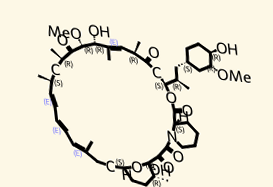 CO[C@@H]1C[C@H](C[C@@H](C)[C@@H]2CC(=O)[C@H](C)/C=C(\C)[C@@H](O)[C@@H](OC)C(=O)[C@H](C)C[C@H](C)/C=C/C=C/C=C(\C)CC[C@@H]3CC[C@@H](C)[C@@](O)(O3)C(=O)C(=O)N3CCCC[C@H]3C(=O)O2)CC[C@H]1O